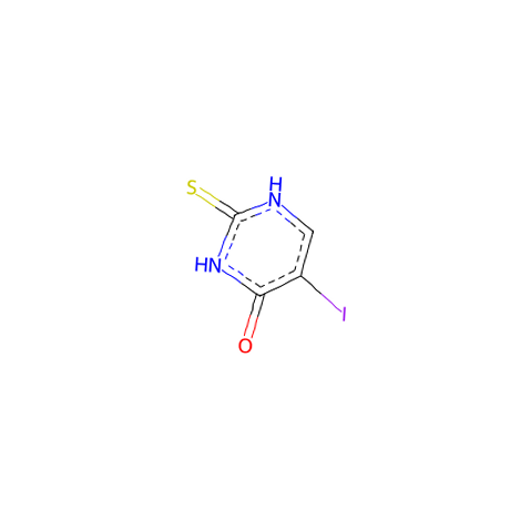 O=c1[nH]c(=S)[nH]cc1I